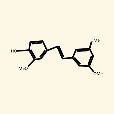 COc1cc(/C=C/c2ccc(O)c(OC)c2)cc(OC)c1